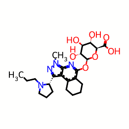 CCCN1CCC[C@H]1c1nn(C)c2nc(O[C@@H]3O[C@H](C(=O)O)[C@@H](O)[C@H](O)[C@H]3O)c3c(c12)CCCC3